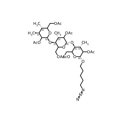 CC(=O)OCC1O[C@@H](O[C@@H]2C(COC(C)=O)O[C@@H](O[C@@H]3C(COC(C)=O)O[C@@H](OCCCCCN=[N+]=[N-])C(OC(C)=O)[C@H]3C)C(OC(C)=O)[C@H]2C)C(OC(C)=O)[C@@H](C)[C@@H]1C